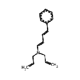 C=CCN(C=CC=Cc1ccccc1)CC=C